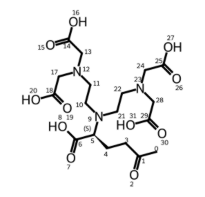 CC(=O)CC[C@@H](C(=O)O)N(CCN(CC(=O)O)CC(=O)O)CCN(CC(=O)O)CC(=O)O